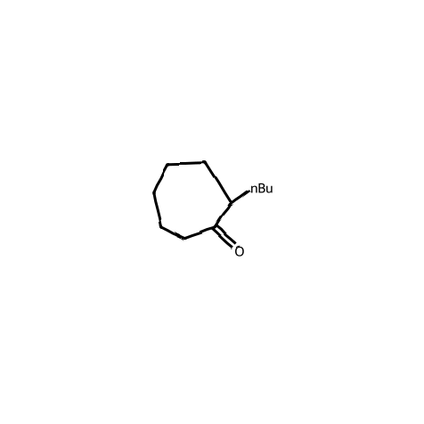 CCCCC1CCCCCC1=O